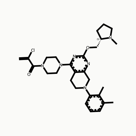 C=C(Cl)C(=O)N1CCN(c2nc(OC[C@@H]3CCCN3C)nc3c2CCN(c2cccc(C)c2C)C3)CC1